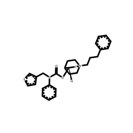 O=C(O[C@H]1C[N+]2(CCCc3ccccc3)CCC1CC2)N(Cc1ccsc1)c1ccccc1